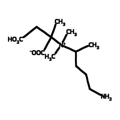 CC(CCCN)[N+](C)(C)C(C)(CC(=O)O)C(=O)[O-]